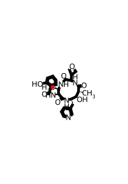 C[C@H]1NC(=O)C(C2COC2)NC(=O)[C@H](C)[C@H](O)[C@H](Cc2cccnc2)NC(=O)[C@H]1NC(=O)c1ccccc1O